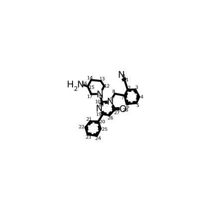 N#Cc1ccccc1Cn1c(N2CCCC(N)C2)nc(-c2ccccc2)cc1=O